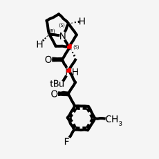 Cc1cc(F)cc(C(=O)CCC[C@@H]2C[C@H]3CC[C@@H](C2)N3CC(=O)NC(C)(C)C)c1